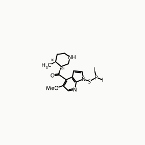 COc1cnc2c(ccn2SP(I)I)c1C(=O)[C@@H]1CNCC[C@@H]1C